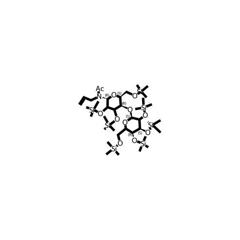 C=CCN(C(C)=O)[C@@H]1O[C@@H](CO[Si](C)(C)C)[C@@H](O[C@@H]2OC(CO[Si](C)(C)C)[C@@H](O[Si](C)(C)C)[C@H](O[Si](C)(C)C)C2O[Si](C)(C)C)C(O[Si](C)(C)C)C1O[Si](C)(C)C